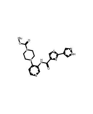 CC(C)(C)OC(=O)N1CCN(c2ccncc2NC(=O)c2csc(-c3cn[nH]c3)n2)CC1